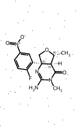 C[C@H]1OC[C@]2(c3cc([N+](=O)[O-])ccc3F)N=C(N)N(C)C(=O)[C@H]12